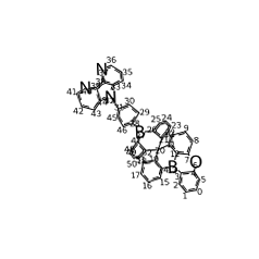 c1ccc2c(c1)Oc1cccc3c1B2c1ccccc1C31c2ccccc2B(c2ccc(-n3c4cccnc4c4ncccc43)cc2)c2ccccc21